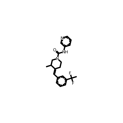 CC1CN(C(=O)Nc2cccnc2)CCC1=Cc1cccc(C(C)(F)F)c1